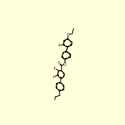 CCCc1ccc(-c2ccc(C(=O)Oc3ccc(-c4ccc(OCC)cc4F)cc3)c(F)c2F)cc1